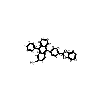 Cc1ccc2c(-c3ccc(-c4nc5ccccc5o4)cc3)c3ccccc3c(-c3ccccc3)c2c1